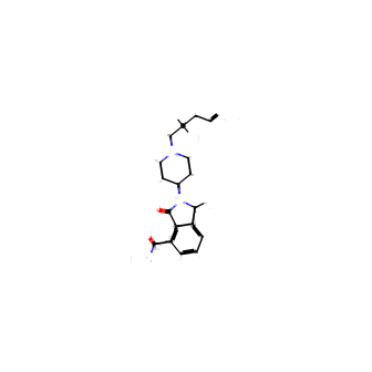 C=CCC(C)(C)CN1CCC(N2C(=O)c3c(C(N)=O)cccc3C2C)CC1